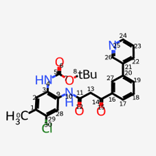 Cc1cc(NC(=O)OC(C)(C)C)c(NC(=O)CC(=O)c2cccc(-c3cccnc3)c2)cc1Cl